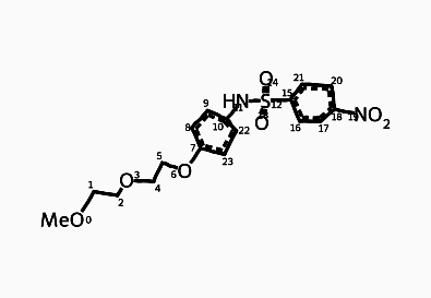 COCCOCCOc1ccc(NS(=O)(=O)c2ccc([N+](=O)[O-])cc2)cc1